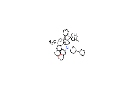 CC(C)c1cc2c(cc1-c1cc3c(cc1N(c1ccc(-c4ccccc4)cc1)c1ccc4c(c1)CCCC4)C(C)(C)c1ccccc1-3)CCCC2